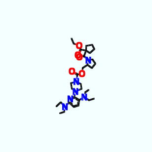 CCOC(=O)C1(C(=O)N2CCCC2COC(=O)N2CCN(c3nc(N(CC)CC)ccc3N(CC)CC)CC2)CCCC1